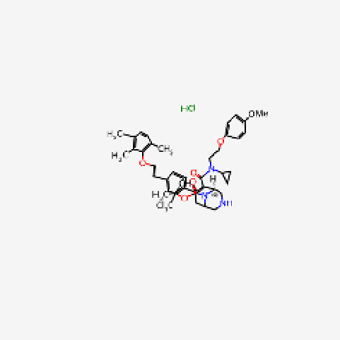 COc1ccc(OCCN(C(=O)C2=C(c3ccc(CCOc4c(C)ccc(C)c4C)cc3)CC3CNC[C@H]2N3C(=O)OC(C)(C)C(Cl)(Cl)Cl)C2CC2)cc1.Cl